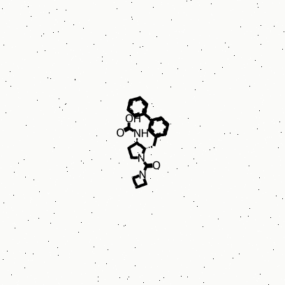 O=C(O)N[C@H]1CCN(C(=O)N2CCC2)[C@H]1Cc1cccc(-c2ccccc2)c1